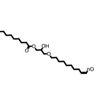 CCCCCCCC/C=C\CCCCCCCCOCC(O)COC(=O)CCCCCCCCCCCCCCCCC